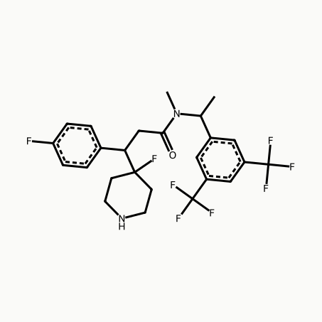 CC(c1cc(C(F)(F)F)cc(C(F)(F)F)c1)N(C)C(=O)CC(c1ccc(F)cc1)C1(F)CCNCC1